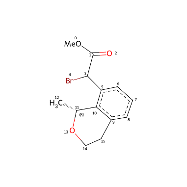 COC(=O)C(Br)c1cccc2c1[C@@H](C)OCC2